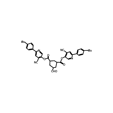 CCC(C)c1ccc(-c2cc(C#N)c(OC(=O)C3CC(C=O)CC(C(=O)Oc4cnc(-c5ccc(C(C)CC)cc5)cc4C#N)C3)cn2)cc1